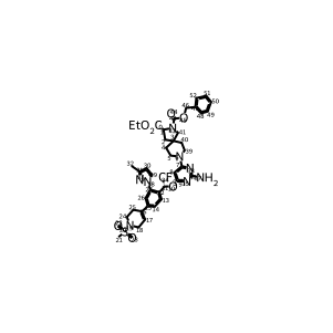 CCOC(=O)C1CC2(CCN(c3cc(O[C@H](c4ccc(C5=CCN(S(C)(=O)=O)CC5)cc4-n4ccc(C)n4)C(F)(F)F)nc(N)n3)CC2)CN1C(=O)OCc1ccccc1